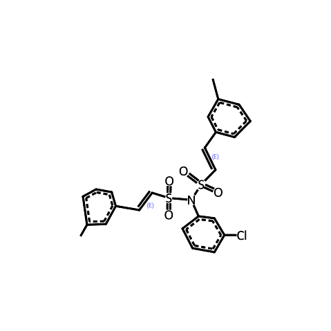 Cc1cccc(/C=C/S(=O)(=O)N(c2cccc(Cl)c2)S(=O)(=O)/C=C/c2cccc(C)c2)c1